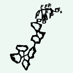 O=S(=O)(Oc1ccc2c(ccc3cc(-c4ccc5c(c4)C4(c6ccccc6-c6ccccc64)c4ccccc4-5)ccc32)c1)C(F)(F)C(F)(F)C(F)(F)C(F)(F)F